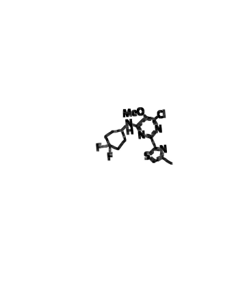 COc1c(Cl)nc(-c2nc(C)cs2)nc1NC1CCC(F)(F)CC1